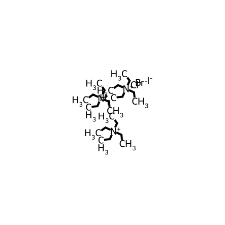 CC[N+](CC)(CC)CC.CC[N+](CC)(CC)CC.CC[N+](CC)(CC)CC.[Br-].[Cl-].[I-]